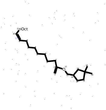 C=C(CCCCCCC/C=C\CCCCCCCC)OCC1CCC(C)(C)C1